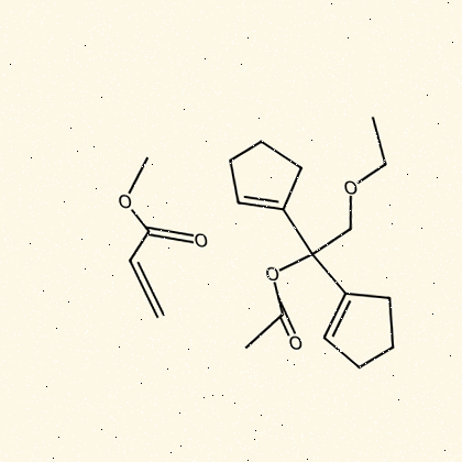 C=CC(=O)OC.CCOCC(OC(C)=O)(C1=CCCC1)C1=CCCC1